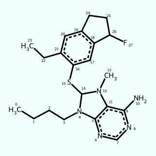 CCCCN1c2ncnc(N)c2N(C)C1Sc1cc2c(cc1CC)CCC2F